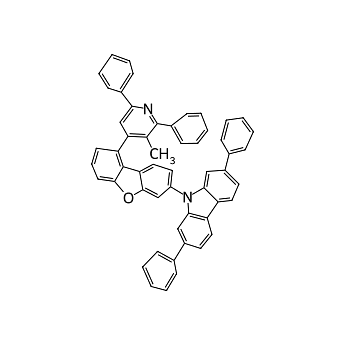 Cc1c(-c2cccc3oc4cc(-n5c6cc(-c7ccccc7)ccc6c6ccc(-c7ccccc7)cc65)ccc4c23)cc(-c2ccccc2)nc1-c1ccccc1